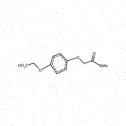 CNC(=O)COc1ccc(OCC(=O)O)cc1